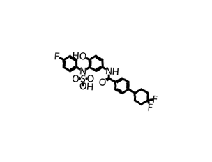 O=C(Nc1ccc(O)c(N(c2ccc(F)cc2)S(=O)(=O)O)c1)c1ccc(C2CCC(F)(F)CC2)cc1